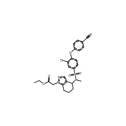 CCOC(=O)Cn1ncc2c1CCCC2N(C)S(=O)(=O)c1ccc(Oc2ccc(C#N)cc2)c(Cl)c1